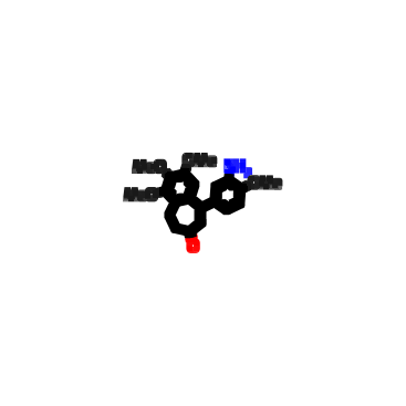 COc1ccc(C2=CC(=O)CCc3c2cc(OC)c(OC)c3OC)cc1N